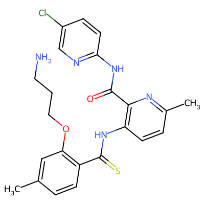 Cc1ccc(C(=S)Nc2ccc(C)nc2C(=O)Nc2ccc(Cl)cn2)c(OCCCN)c1